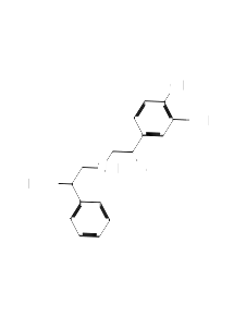 Cc1cc([C@@H](O)CNCC(C)c2ccccc2)ccc1O